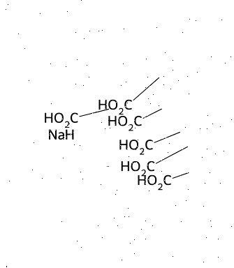 CC(=O)O.CC(=O)O.CC(=O)O.CC(=O)O.CC(=O)O.CC(=O)O.[NaH]